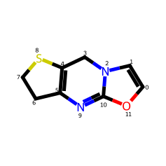 C1=CN2CC3=C(CCS3)N=C2O1